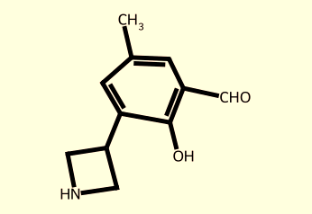 Cc1cc(C=O)c(O)c(C2CNC2)c1